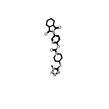 Cn1nnnc1SC1CCN(C(=O)Oc2ccc(N3C(=O)C4CCCCC4C3=O)cn2)CC1